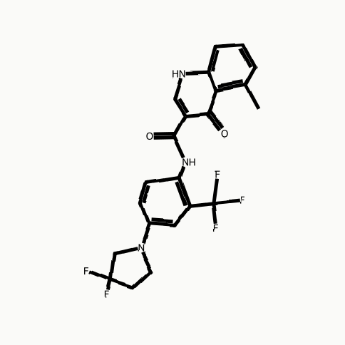 Cc1cccc2[nH]cc(C(=O)Nc3ccc(N4CCC(F)(F)C4)cc3C(F)(F)F)c(=O)c12